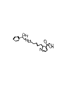 O=C(O)c1cccnc1CCCCCCNCC(O)c1ccccc1